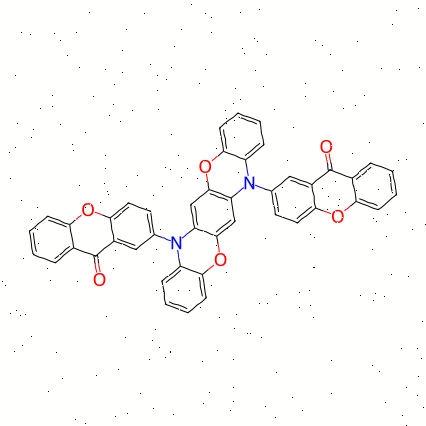 O=c1c2ccccc2oc2ccc(-n3c4ccccc4oc4cc5c(cc43)oc3ccccc3n5-c3ccc4oc5ccccc5c(=O)c4c3)cc12